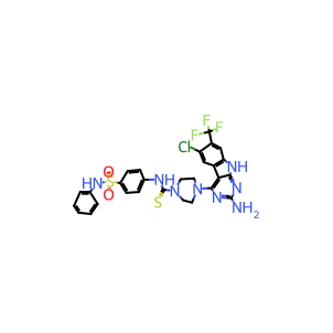 Nc1nc(N2CCN(C(=S)Nc3ccc(S(=O)(=O)Nc4ccccc4)cc3)CC2)c2c(n1)[nH]c1cc(C(F)(F)F)c(Cl)cc12